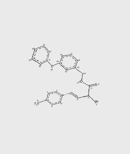 CC(C)C(C=Cc1ccc(C(F)(F)F)cc1)C(=O)OCc1cccc(Oc2ccccc2)c1